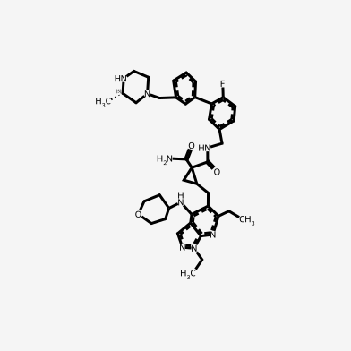 CCc1nc2c(cnn2CC)c(NC2CCOCC2)c1CC1CC1(C(N)=O)C(=O)NCc1ccc(F)c(-c2cccc(CN3CCN[C@@H](C)C3)c2)c1